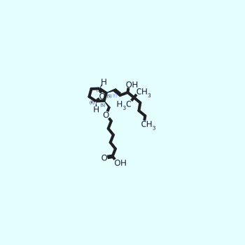 CCCCC(C)(C)C(O)/C=C/[C@H]1[C@@H](COCCCCCC(=O)O)[C@H]2CC[C@@H]1O2